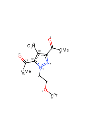 CCCOCCn1nc(C(=O)OC)c([N+](=O)[O-])c1C(=O)OC